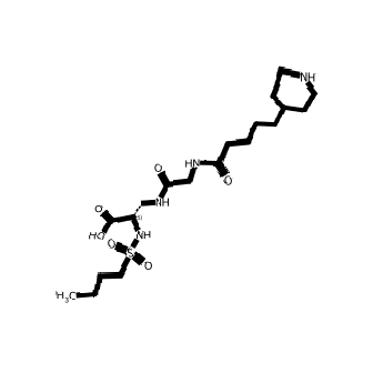 CCCCS(=O)(=O)N[C@@H](CNC(=O)CNC(=O)CCCCC1CCNCC1)C(=O)O